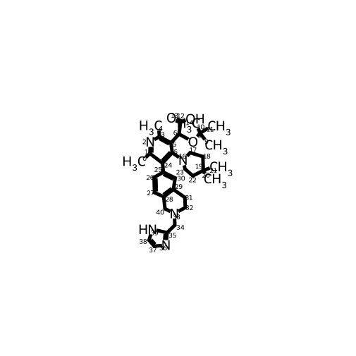 Cc1nc(C)c(C(OC(C)(C)C)C(=O)O)c(N2CCC(C)(C)CC2)c1-c1ccc2c(c1)CCN(Cc1ncc[nH]1)C2